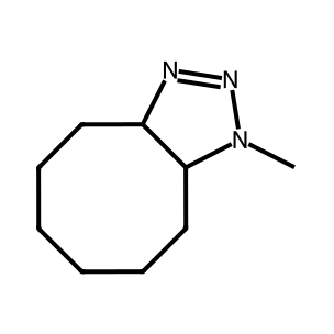 CN1N=NC2CCCCCCC21